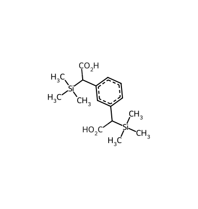 C[Si](C)(C)C(C(=O)O)c1cccc(C(C(=O)O)[Si](C)(C)C)c1